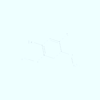 CCCCOC1=C(C(C)(C)C)C=C(C(C)=O)C(OCCCC)C1